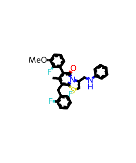 COc1cccc(-c2c(C)c(Cc3c(F)cccc3F)c3n(c2=O)C(CNc2ccccc2)CS3)c1F